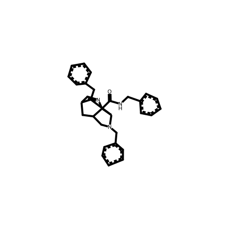 O=C(NCc1ccccc1)C12N=CC3CC1CN(Cc1ccccc1)C2C3Cc1ccccc1